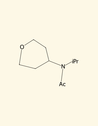 CC(=O)N(C(C)C)C1CCOCC1